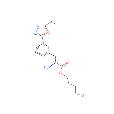 Cc1nnc(-c2cccc(C[C@H](N)C(=O)OCCCCCl)c2)o1